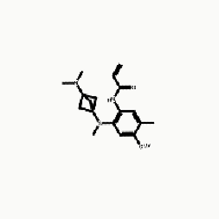 C=CC(=O)Nc1cc(C)c(OC)cc1N(C)C12CC(N(C)C)(C1)C2